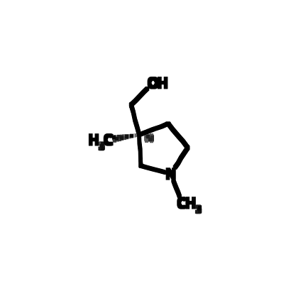 CN1CC[C@](C)(CO)C1